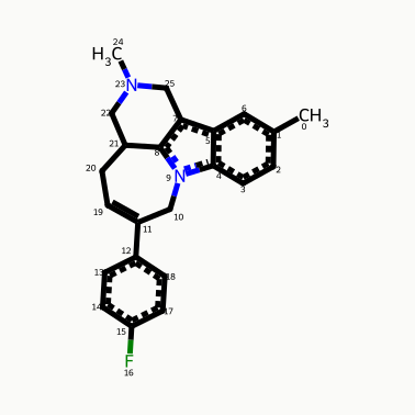 Cc1ccc2c(c1)c1c3n2CC(c2ccc(F)cc2)=CCC3CN(C)C1